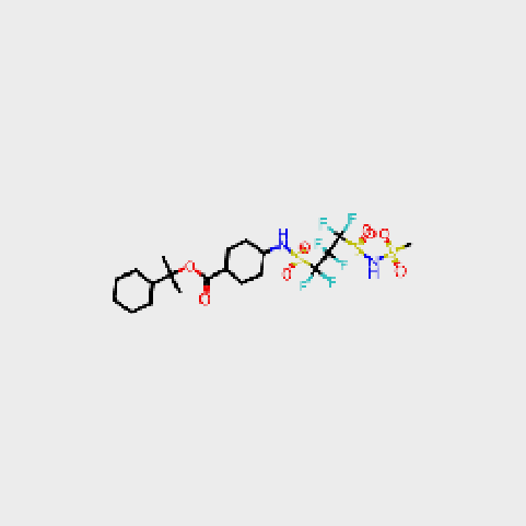 CC(C)(OC(=O)C1CCC(NS(=O)(=O)C(F)(F)C(F)(F)C(F)(F)S(=O)(=O)NS(C)(=O)=O)CC1)C1CCCCC1